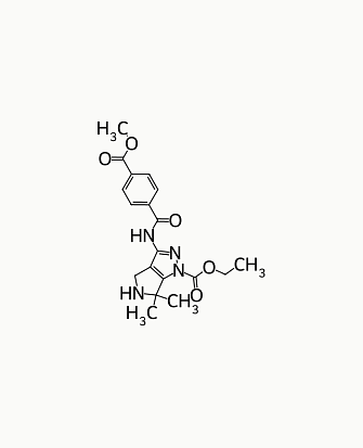 CCOC(=O)n1nc(NC(=O)c2ccc(C(=O)OC)cc2)c2c1C(C)(C)NC2